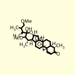 C=C(C(C)COC)C1(O)O[C@H]2C[C@@]3(C)[C@@H]4CC[C@H]5[C@H](C)C(=O)C=C[C@@]56C[C@@]46CC[C@]3(C)[C@H]2[C@H](C)C1OC(C)=O